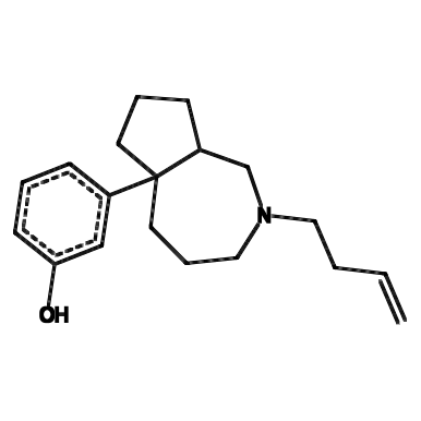 C=CCCN1CCCC2(c3cccc(O)c3)CCCC2C1